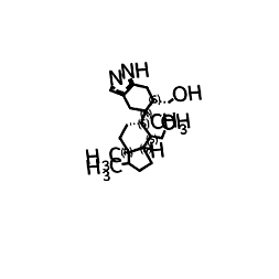 CC1CC[C@H]2[C@H](CO)[C@@H]([C@@]3(C)Cc4cn[nH]c4C[C@@H]3CO)CC[C@]12C